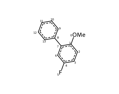 COc1ccc(F)cc1-c1[c]cccc1